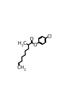 C=CCCCCCC(C)C(=O)Oc1ccc(Cl)cc1